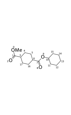 COC(=O)C1CCC(C(=O)OC2CCCCC2)CC1